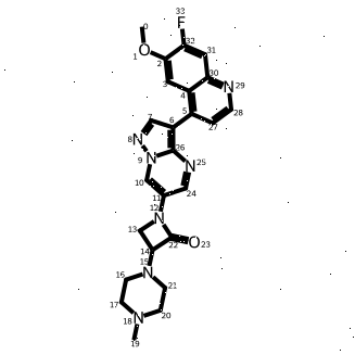 COc1cc2c(-c3cnn4cc(N5CC(N6CCN(C)CC6)C5=O)cnc34)ccnc2cc1F